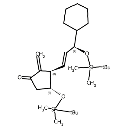 C=C1C(=O)C[C@@H](O[Si](C)(C)C(C)(C)C)[C@@H]1C=C[C@H](O[Si](C)(C)C(C)(C)C)C1CCCCC1